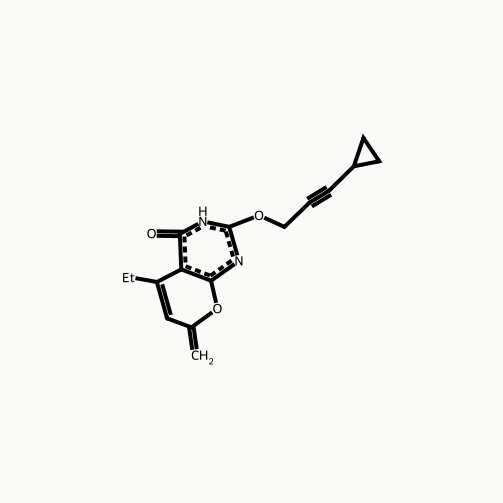 C=C1C=C(CC)c2c(nc(OCC#CC3CC3)[nH]c2=O)O1